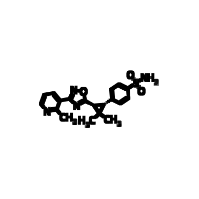 Cc1ncccc1-c1noc([C@H]2[C@H](c3ccc(S(N)(=O)=O)cc3)C2(C)C)n1